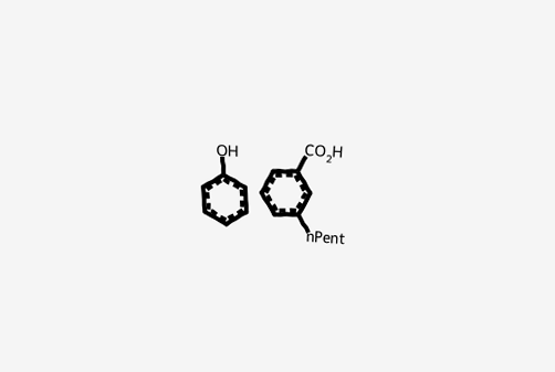 CCCCCc1cccc(C(=O)O)c1.Oc1ccccc1